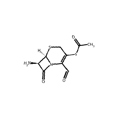 CC(=O)SC1=C([C]=O)N2C(=O)[C@@H](N)[C@H]2SC1